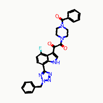 O=C(C(=O)N1CCN(C(=O)c2ccccc2)CC1)c1c[nH]c2c(-c3nnn(Cc4ccccc4)n3)ccc(F)c12